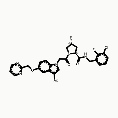 CC(=O)c1cn(CC(=O)N2C[C@H](F)C[C@H]2C(=O)NCc2cccc(Cl)c2F)c2ccc(OCc3ncccn3)cc12